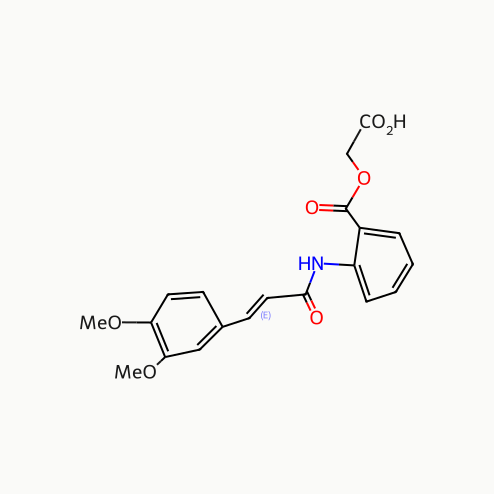 COc1ccc(/C=C/C(=O)Nc2ccccc2C(=O)OCC(=O)O)cc1OC